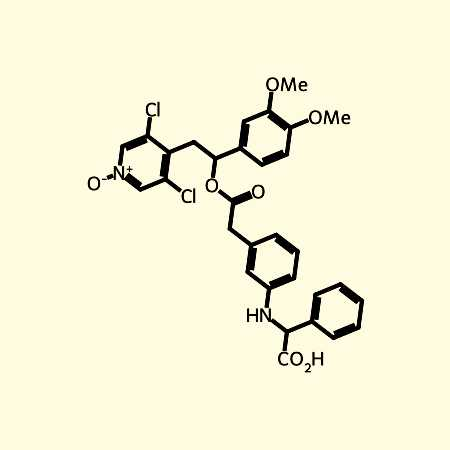 COc1ccc(C(Cc2c(Cl)c[n+]([O-])cc2Cl)OC(=O)Cc2cccc(NC(C(=O)O)c3ccccc3)c2)cc1OC